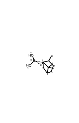 CC1CCC2CC1C2(C)C.OB(O)O